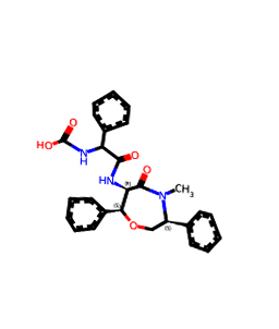 CN1C(=O)[C@H](NC(=O)C(NC(=O)O)c2ccccc2)[C@H](c2ccccc2)OC[C@@H]1c1ccccc1